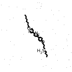 CCCCCCCCOc1ccc(-c2ccc(-c3ccc(OCCCC[SiH2]CCCC)cc3)nn2)cn1